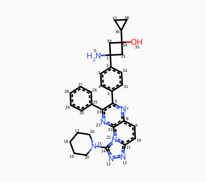 NC1(c2ccc(-c3nc4ccc5nnc(N6CCCCC6)n5c4nc3-c3ccccc3)cc2)CC(O)(C2CC2)C1